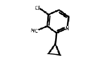 N#Cc1c(Cl)ccnc1C1CC1